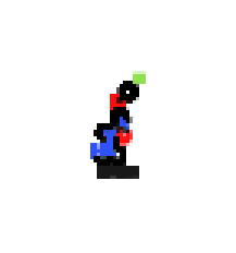 CNC(C)C1CCCC(C(=O)N2CCCC2c2cc(Oc3ccc(F)cc3)ccn2)N1